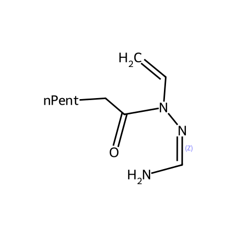 C=CN(/N=C\N)C(=O)CCCCCC